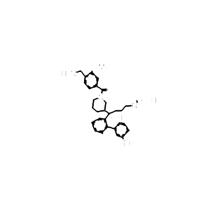 CCc1cccc(-c2c(Cl)cccc2C(O)(CCCNC(=O)O)C2CCCN(C(=O)c3ccc(CN)c(OC)c3)C2)c1